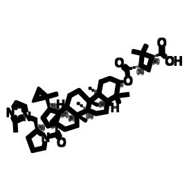 Cc1nccn1C[C@@H]1CCCN1C(=O)[C@]12CC[C@@H](C3(C)CC3)[C@]1(C)[C@H]1CC[C@@]3(C)[C@@](C)(CC[C@H]4C(C)(C)[C@@H](OC(=O)[C@H]5C[C@@H](C(=O)O)C5(C)C)CC[C@@]43C)[C@]1(C)CC2